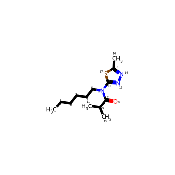 CCCCCCN(C(=O)C(C)C)c1nnc(C)s1